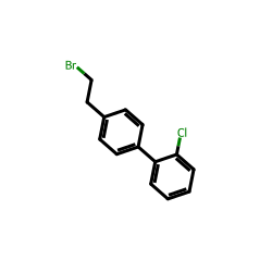 Clc1ccccc1-c1ccc(CCBr)cc1